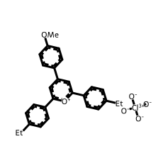 CCc1ccc(-c2cc(-c3ccc(OC)cc3)cc(-c3ccc(CC)cc3)[o+]2)cc1.[O-][Cl+3]([O-])([O-])[O-]